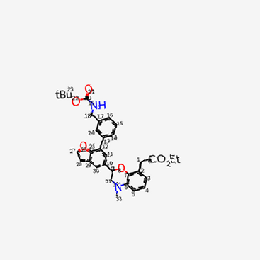 CCOC(=O)Cc1cccc2c1OC(c1cc(-c3cccc(CNC(=O)OC(C)(C)C)c3)c3occc3c1)CN2C